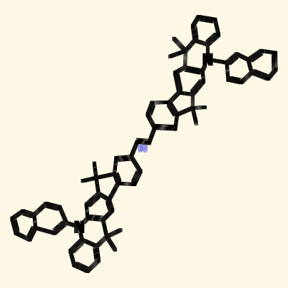 CC1(C)c2cc(/C=C/c3ccc4c(c3)C(C)(C)c3cc5c(cc3-4)C(C)(C)c3ccccc3N5c3ccc4ccccc4c3)ccc2-c2cc3c(cc21)N(c1ccc2ccccc2c1)c1ccccc1C3(C)C